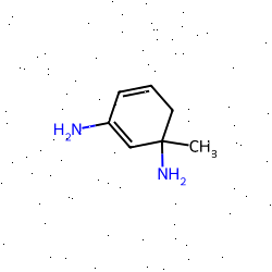 CC1(N)C=C(N)C=CC1